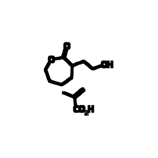 C=C(C)C(=O)O.O=C1OCCCCC1CCO